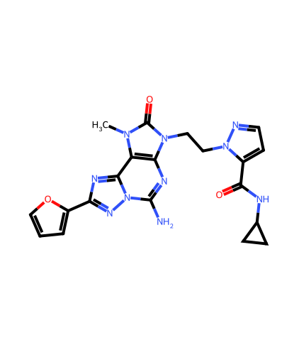 Cn1c(=O)n(CCn2nccc2C(=O)NC2CC2)c2nc(N)n3nc(-c4ccco4)nc3c21